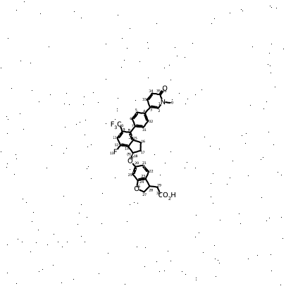 Cn1cc(-c2ccc(-c3c(C(F)(F)F)cc(F)c4c3CC[C@H]4Oc3ccc4c(c3)OCC4CC(=O)O)cc2)ccc1=O